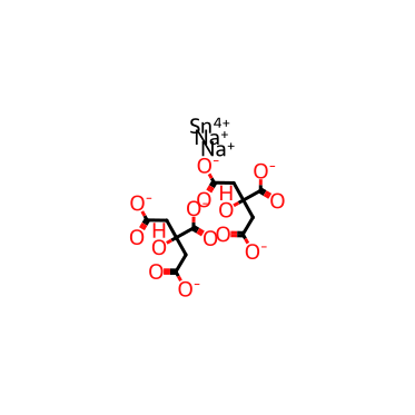 O=C([O-])CC(O)(CC(=O)[O-])C(=O)[O-].O=C([O-])CC(O)(CC(=O)[O-])C(=O)[O-].[Na+].[Na+].[Sn+4]